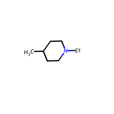 C[CH]N1CCC(C)CC1